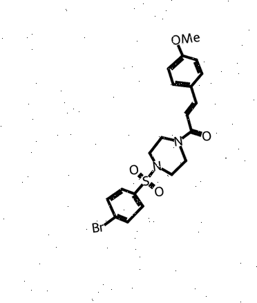 COc1ccc(C=CC(=O)N2CCN(S(=O)(=O)c3ccc(Br)cc3)CC2)cc1